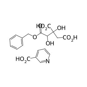 O=C(O)CC(O)(C(=O)O)C(O)C(=O)OCc1ccccc1.O=C(O)c1cccnc1